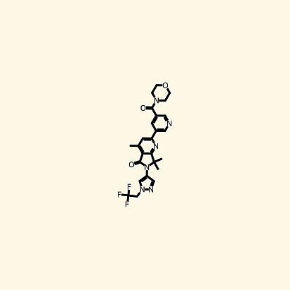 Cc1cc(-c2cncc(C(=O)N3CCOCC3)c2)nc2c1C(=O)N(c1cnn(CC(F)(F)F)c1)C2(C)C